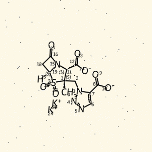 C[C@]1(Cn2nncc2C(=O)[O-])[C@H](C(=O)[O-])N2C(=O)C[C@@H]2S1(=O)=O.[K+].[K+]